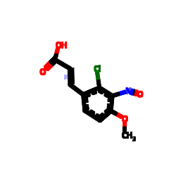 COc1ccc(/C=C/C(=O)O)c(Cl)c1N=O